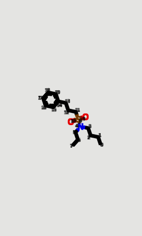 CCCCN(CCC)S(=O)(=O)CCCc1ccccc1